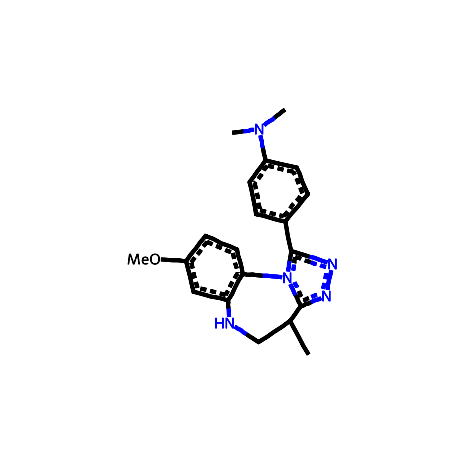 COc1ccc2c(c1)NCC(C)c1nnc(-c3ccc(N(C)C)cc3)n1-2